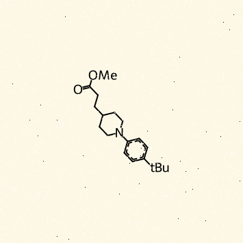 COC(=O)CCC1CCN(c2ccc(C(C)(C)C)cc2)CC1